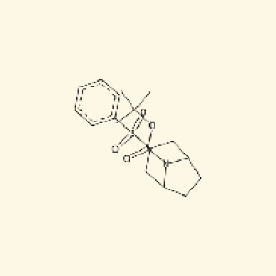 CC(C)(C)OC(=O)N1C2CCC1CC(S(=O)(=O)c1ccccc1)C2